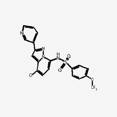 O=S(=O)(Nc1ccc(Cl)c2cc(-c3cccnc3)nn12)c1ccc(OC(F)(F)F)cc1